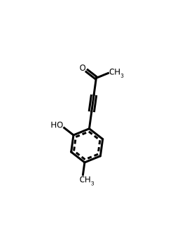 CC(=O)C#Cc1ccc(C)cc1O